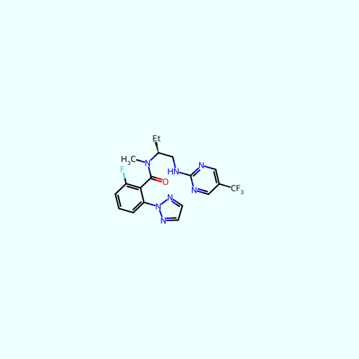 CC[C@@H](CNc1ncc(C(F)(F)F)cn1)N(C)C(=O)c1c(F)cccc1-n1nccn1